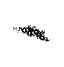 CCOc1ccc(F)c(S(=O)(=O)Nc2cc(F)c(-c3nn(C(C)C)c4c(C5CCC(N)CC5)cnc(N)c34)cc2F)c1